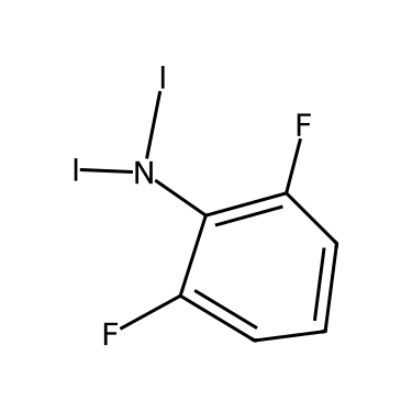 Fc1cccc(F)c1N(I)I